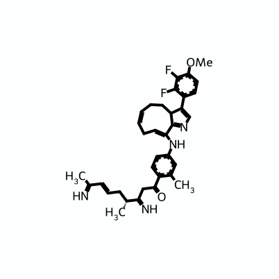 COc1ccc(C2=CN=C3/C(Nc4ccc(C(=O)CC(=N)[C@H](C)C/C=C/C(C)=N)c(C)c4)=C/C/C=C\CCC23)c(F)c1F